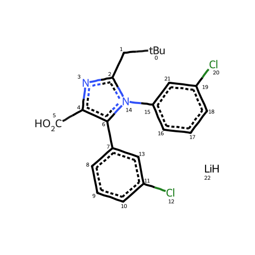 CC(C)(C)Cc1nc(C(=O)O)c(-c2cccc(Cl)c2)n1-c1cccc(Cl)c1.[LiH]